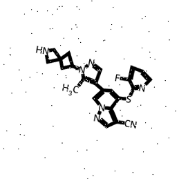 Cc1c(-c2cc(Sc3ncccc3F)c3c(C#N)cnn3c2)cnn1C1CC2(CNC2)C1